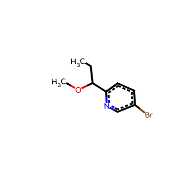 CCC(OC)c1ccc(Br)cn1